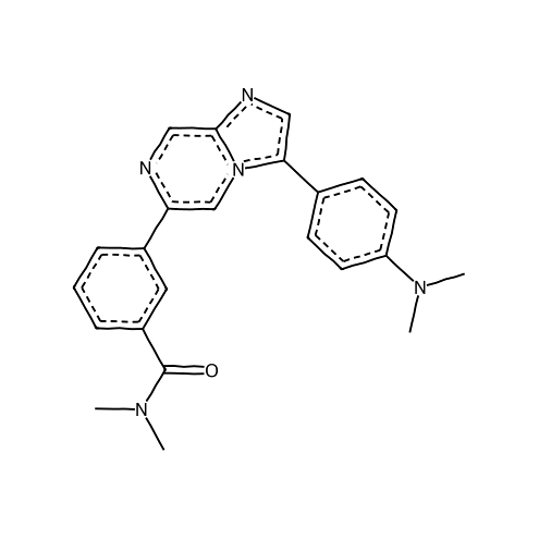 CN(C)C(=O)c1cccc(-c2cn3c(-c4ccc(N(C)C)cc4)cnc3cn2)c1